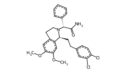 COc1cc2c(cc1OC)[C@H](CCc1ccc(Cl)c(Cl)c1)N([C@@H](C(N)=O)c1ccccc1)CC2